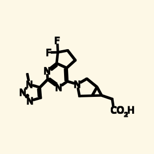 Cn1nncc1-c1nc(N2CC3C(CC(=O)O)C3C2)c2c(n1)C(F)(F)CC2